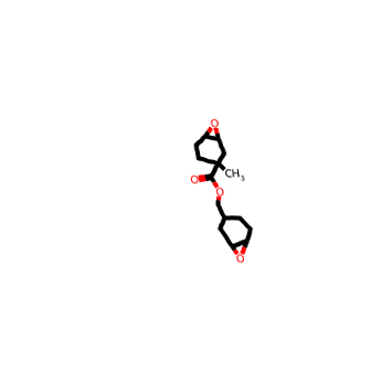 CC1(C(=O)OCC2CCC3OC3C2)CCC2OC2C1